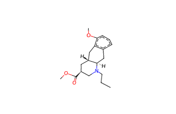 CCCN1C[C@@H](C(=O)OC)C[C@@H]2Cc3c(cccc3OC)C[C@H]21